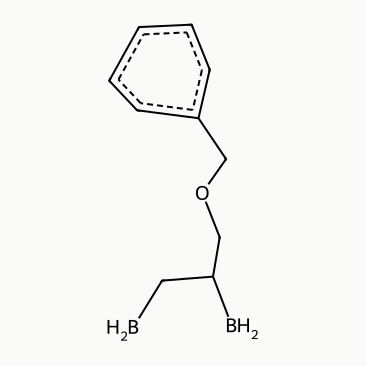 BCC(B)COCc1ccccc1